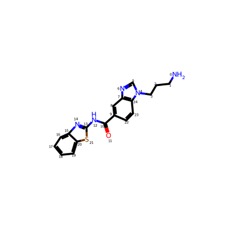 NCCCn1cnc2cc(C(=O)Nc3nc4ccccc4s3)ccc21